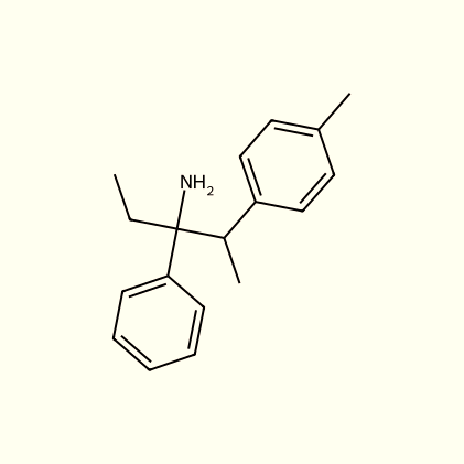 CCC(N)(c1ccccc1)C(C)c1ccc(C)cc1